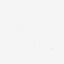 CS(=O)(=O)NC(=O)c1cnn(-c2cncc(F)c2)c1